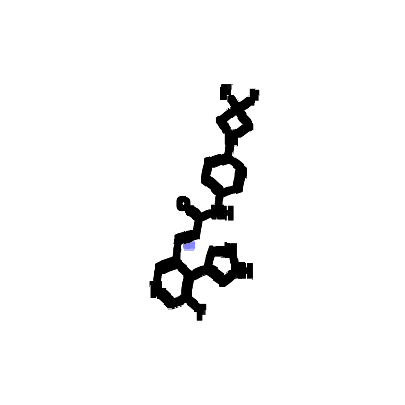 O=C(/C=C/c1cncc(F)c1-c1cn[nH]c1)Nc1ccc(N2CC(F)(F)C2)cc1